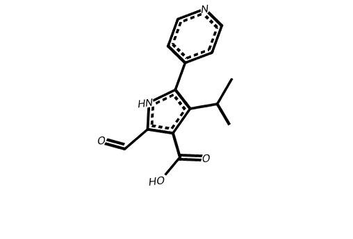 CC(C)c1c(-c2ccncc2)[nH]c(C=O)c1C(=O)O